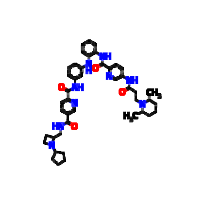 CC1CCCC(C)N1CCC(=O)Nc1ccc(C(=O)Nc2ccccc2Nc2cccc(NC(=O)c3ccc(C(=O)NCC4CCN4C4CCCC4)cn3)c2)nc1